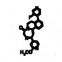 COc1cc(C2=NCC(=O)N3CCc4c(cccc4-c4ccncc4F)C3=C2)ccn1